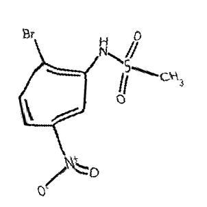 CS(=O)(=O)Nc1cc([N+](=O)[O-])ccc1Br